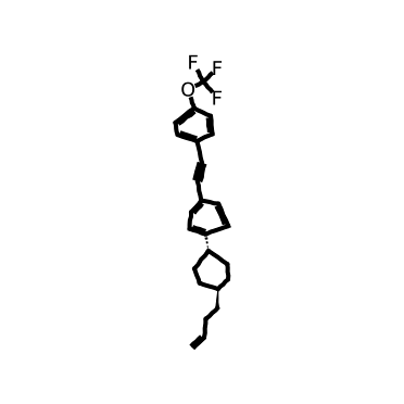 C=CCC[C@H]1CC[C@H](c2ccc(C#Cc3ccc(OC(F)(F)F)cc3)cc2)CC1